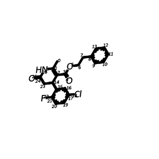 CC1=C(C(=O)OCCc2ccccc2)C(c2cc(Cl)ccc2F)CC(=O)N1